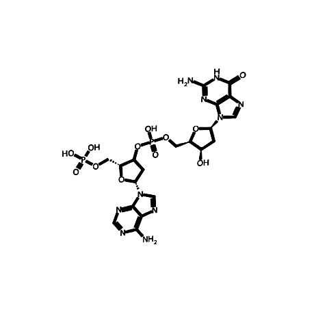 Nc1nc2c(ncn2[C@H]2C[C@@H](O)[C@@H](COP(=O)(O)OC3C[C@H](n4cnc5c(N)ncnc54)O[C@@H]3COP(=O)(O)O)O2)c(=O)[nH]1